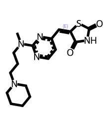 CN(CCCN1CCCCC1)c1nccc(/C=C2/SC(=O)NC2=O)n1